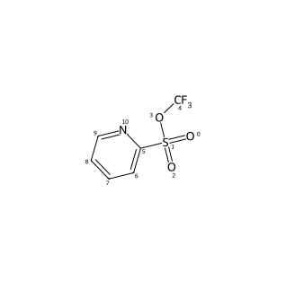 O=S(=O)(OC(F)(F)F)c1ccccn1